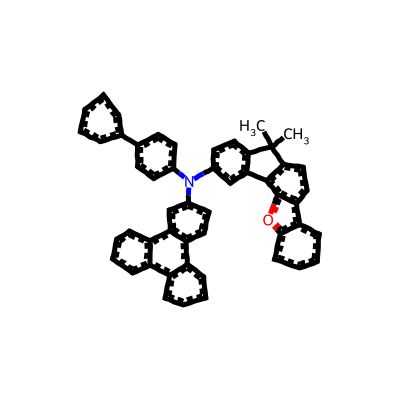 CC1(C)c2ccc(N(c3ccc(-c4ccccc4)cc3)c3ccc4c5ccccc5c5ccccc5c4c3)cc2-c2c1ccc1c2oc2ccccc21